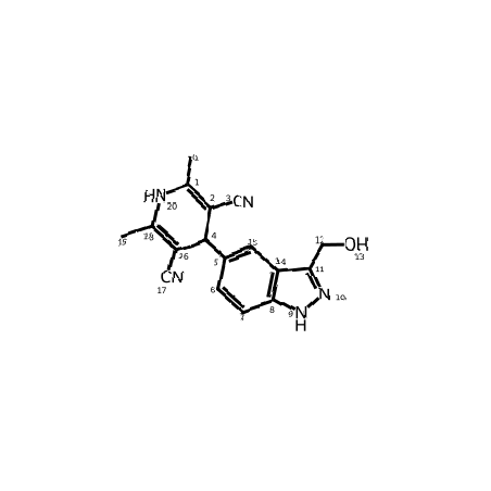 CC1=C(C#N)C(c2ccc3[nH]nc(CO)c3c2)C(C#N)=C(C)N1